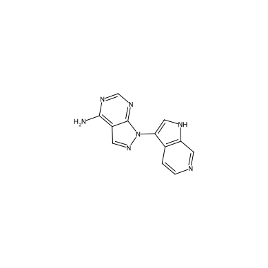 Nc1ncnc2c1cnn2-c1c[nH]c2cnccc12